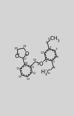 CCc1ccc(CC)c(OCc2ccccc2C2OCCO2)c1